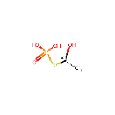 O=P(O)(O)S[C@H](O)C(F)(F)F